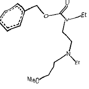 CCN(CCOC)CCN(CC)C(=O)OCc1ccccc1